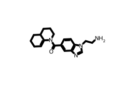 NCCn1cnc2cc(C(=O)N3CCCC4CCCC=C43)ccc21